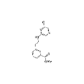 COC(=O)c1cccc(CCNc2cncc(Cl)n2)c1